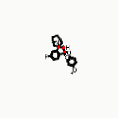 COc1ccc(OCCCN2C3CCC2CC(O)(c2cc(F)ccc2C=O)C3)cc1